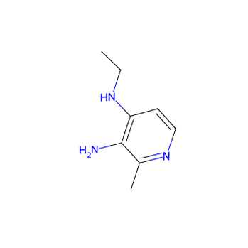 CCNc1ccnc(C)c1N